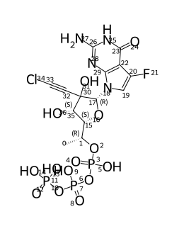 C[C@@H](OP(=O)(O)OP(=O)(O)OP(=O)(O)O)[C@H]1O[C@@H](n2cc(F)c3c(=O)[nH]c(N)nc32)C(O)(C#CCl)[C@H]1O